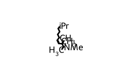 CNC(C)C(C)/C=C\C(C)CCCC(C)C